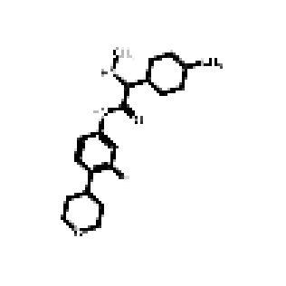 CNC(C(=O)Nc1ccc(C2CCOCC2)c(F)c1)C1CCC(C)CC1